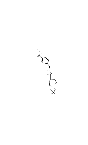 CNNC(=O)c1ccc(Cn2cc(C3CCN(CC(C)(C)F)CC3)nn2)nc1